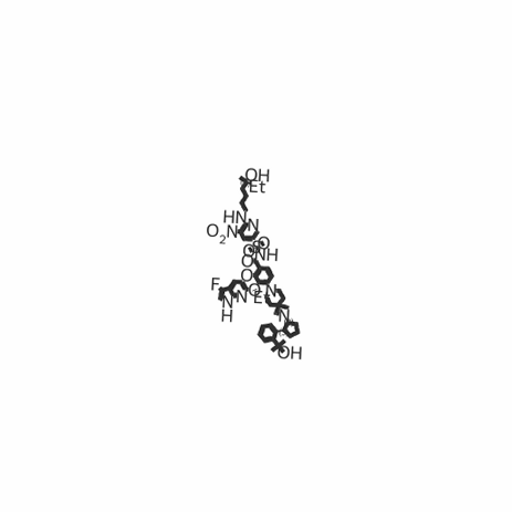 CCOc1nc2[nH]cc(F)c2cc1Oc1cc(N2CCC3(CC2)CN([C@H]2CCC[C@H]2c2ccccc2C(C)(C)O)C3)ccc1C(=O)NS(=O)(=O)c1cnc(NCCCC[C@](C)(O)CC)c([N+](=O)[O-])c1